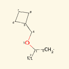 [CH2]C(CC)OCC1CCC1